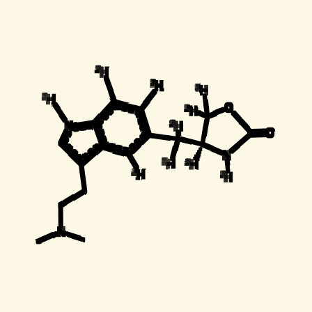 [2H]c1c(C([2H])([2H])[C@]2([2H])N([2H])C(=O)OC2([2H])[2H])c([2H])c2c(CCN(C)C)cn([2H])c2c1[2H]